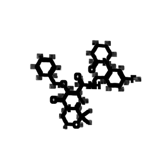 CC1(C)OCCn2c1nc(C(=O)NCc1ccc(F)cc1N1CCCCC1=O)c(OCc1ccccc1)c2=O